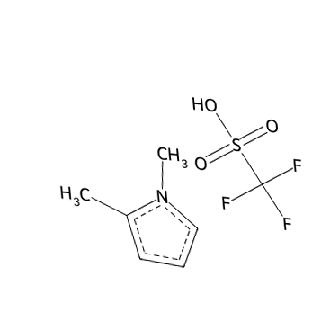 Cc1cccn1C.O=S(=O)(O)C(F)(F)F